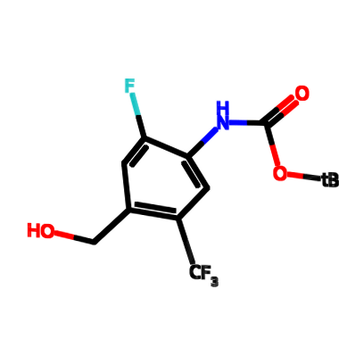 CC(C)(C)OC(=O)Nc1cc(C(F)(F)F)c(CO)cc1F